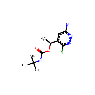 CC(OC(=O)NC(C)(C)C)c1cc(N)nnc1Cl